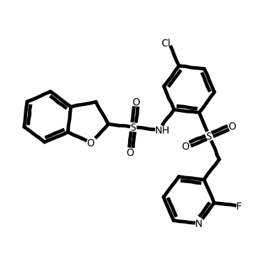 O=S(=O)(Cc1cccnc1F)c1ccc(Cl)cc1NS(=O)(=O)C1Cc2ccccc2O1